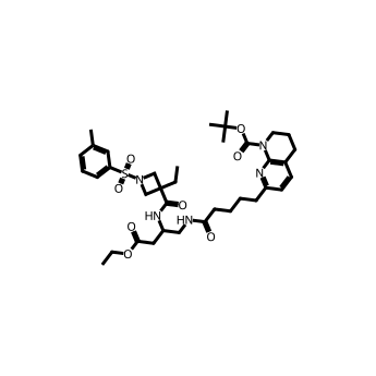 CCOC(=O)CC(CNC(=O)CCCCc1ccc2c(n1)N(C(=O)OC(C)(C)C)CCC2)NC(=O)C1(CC)CN(S(=O)(=O)c2cccc(C)c2)C1